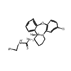 CC(C)CNC(=S)N[C@H]1CCCN2c3cc(Cl)ccc3Oc3ccccc3[C@@H]12